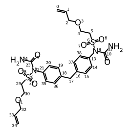 C=CCOCCS(=O)(=O)N(C(N)=O)c1ccc(Cc2ccc(N(C(N)=O)S(=O)(=O)CCOCC=C)cc2)cc1